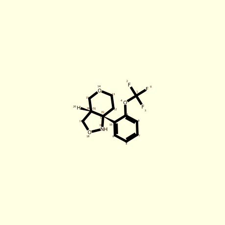 FC(F)(F)Oc1ccccc1[C@]12CCOC[C@H]1CON2